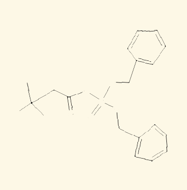 CC(C)(C)CC(=O)OP(=O)(OCc1ccccc1)OCc1ccccc1